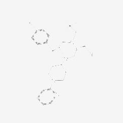 CC(C)C[C@H]1CN(C2CCN(c3ccccn3)CC2)[C@@H](Cc2ccc(Cl)cc2)CN1CC(C)(C)O